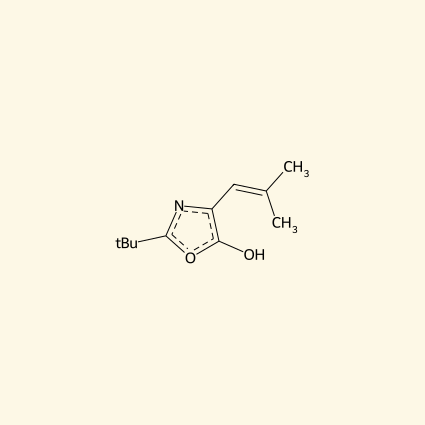 CC(C)=Cc1nc(C(C)(C)C)oc1O